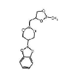 CB1OCC(CB2OCC(B3Oc4ccccc4O3)CO2)O1